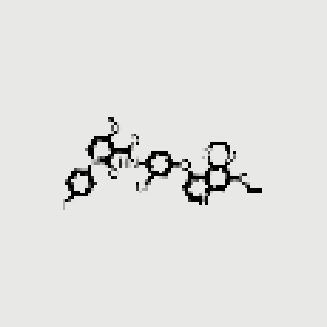 CCOc1cc2nccc(Oc3ccc(NC(=O)c4c(OC)ccn(-c5ccc(F)cc5)c4=O)c(Cl)c3)c2c2c1OCCO2